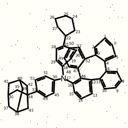 c1ccc2c(c1)-c1ccccc1-c1cccc(N(c3ccc(C4CCCCC4)cc3)c3ccc(C45CC6CC(CC(C6)C4)C5)cc3)c1-c1ccccc1-2